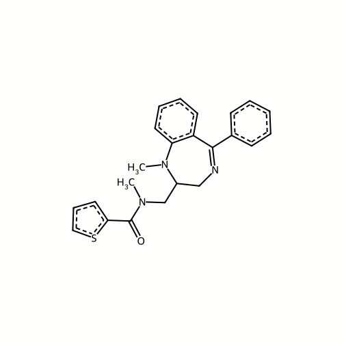 CN(CC1CN=C(c2ccccc2)c2ccccc2N1C)C(=O)c1cccs1